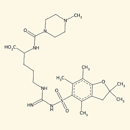 Cc1c(C)c(S(=O)(=O)NC(=N)NCCCC(NC(=O)N2CCN(C)CC2)C(=O)O)c(C)c2c1OC(C)(C)C2